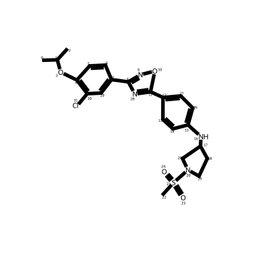 CC(C)Oc1ccc(-c2noc(-c3ccc(NC4CCN(S(C)(=O)=O)C4)cc3)n2)cc1Cl